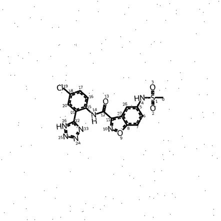 CS(=O)(=O)Nc1ccc2onc(C(=O)Nc3ccc(Cl)cc3-c3nnn[nH]3)c2c1